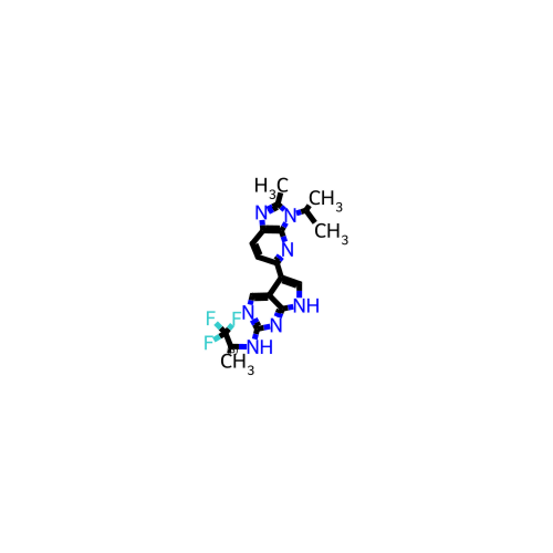 Cc1nc2ccc(-c3c[nH]c4nc(N[C@@H](C)C(F)(F)F)ncc34)nc2n1C(C)C